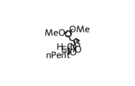 CCCCCC(CC)OC(=O)N(C)c1sccc1Cc1cc(OC)cc(OC)c1